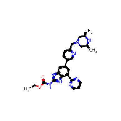 C=C1CN(Cc2ccc(-c3cc(-c4ncccn4)c4[nH]c(NC(=O)OCC)nc4c3)cn2)CC(=C)N1